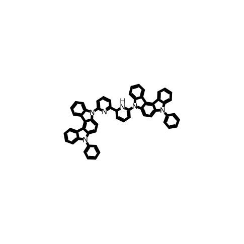 C1=CC(c2cccc(-n3c4ccccc4c4c5c6ccccc6n(-c6ccccc6)c5ccc43)n2)NC(n2c3ccccc3c3c4c5ccccc5n(-c5ccccc5)c4ccc32)=C1